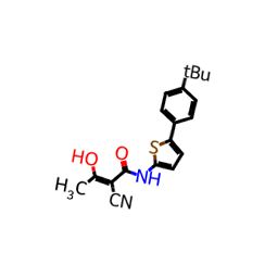 C/C(O)=C(\C#N)C(=O)Nc1ccc(-c2ccc(C(C)(C)C)cc2)s1